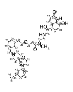 CN(CCNC[C@H](O)c1ccc(O)c2[nH]c(=O)ccc12)C(=O)CCOCCc1cccc(CN2CCC3(CC2)CN(c2cc(C4CC4)ccn2)CCO3)c1